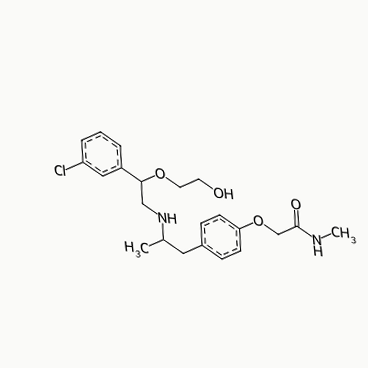 CNC(=O)COc1ccc(CC(C)NCC(OCCO)c2cccc(Cl)c2)cc1